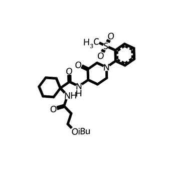 CC(C)COCCC(=O)NC1(C(=O)NC2CCN(c3ccccc3S(C)(=O)=O)CC2=O)CCCCC1